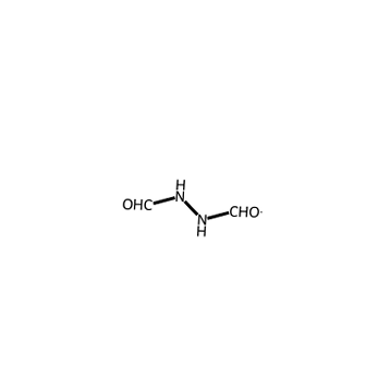 O=[C]NNC=O